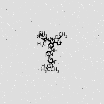 C=CC(=O)N1CCCC1c1nnc(N2C[C@H](CS(C)(=O)=O)[C@H]2C)c2cnc(Nc3ccnc(N4CC[C@@H](OC(C)(C)C)[C@@H](F)C4)n3)cc12